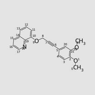 COc1ccc(C#CCOc2cccc3cccnc23)cc1OC